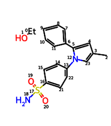 CCO.Cc1cc(-c2ccccc2)n(-c2ccc(S(N)(=O)=O)cc2)c1